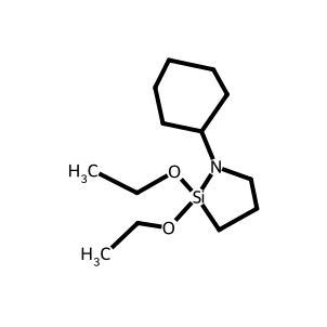 CCO[Si]1(OCC)CCCN1C1CCCCC1